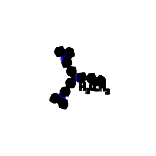 CC1(C)c2ccccc2-c2ccc(-c3ccc(N(c4ccc(-c5ccc(-n6c7ccccc7c7ccccc76)cc5)cc4)c4ccc(-c5ccc6c(c5)c5cccc7c8ccccc8n6c75)cc4)cc3)cc21